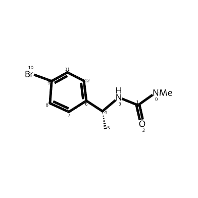 CNC(=O)N[C@H](C)c1ccc(Br)cc1